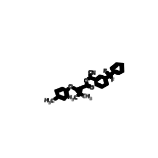 Cc1ccc(OC2C(C(=O)OC(C#N)c3cccc(C(F)(F)c4ccccc4)c3)C2(C)C)cc1